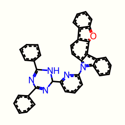 c1ccc(C2=NC(c3cccc(-n4c5ccccc5c5c6oc7ccccc7c6ccc54)n3)NC(c3ccccc3)=N2)cc1